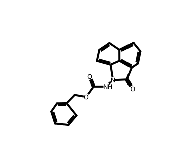 O=C(NN1C(=O)c2cccc3cccc1c23)OCc1ccccc1